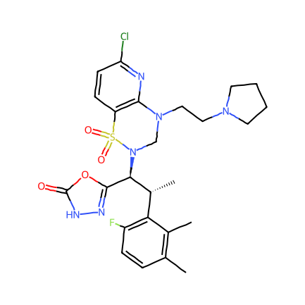 Cc1ccc(F)c([C@@H](C)[C@@H](c2n[nH]c(=O)o2)N2CN(CCN3CCCC3)c3nc(Cl)ccc3S2(=O)=O)c1C